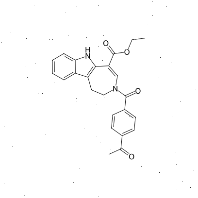 CCOC(=O)C1=CN(C(=O)c2ccc(C(C)=O)cc2)CCc2c1[nH]c1ccccc21